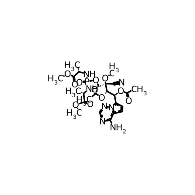 COC(=O)[C@H](C)NP(=O)(N[C@@H](C)C(=O)OC)OC[C@@](C#N)(OC)[C@@H](OC(C)=O)[C@@H](OC(C)=O)c1ccc2c(N)ncnn12